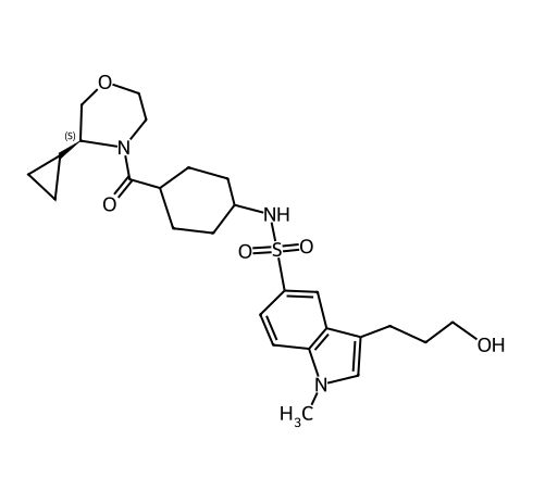 Cn1cc(CCCO)c2cc(S(=O)(=O)NC3CCC(C(=O)N4CCOC[C@@H]4C4CC4)CC3)ccc21